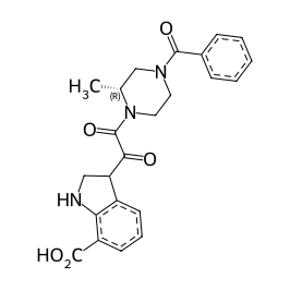 C[C@@H]1CN(C(=O)c2ccccc2)CCN1C(=O)C(=O)C1CNc2c(C(=O)O)cccc21